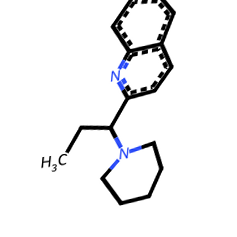 CCC(c1ccc2ccccc2n1)N1CCCCC1